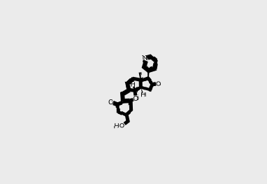 C[C@]12C=CC3=CC4=C(CC(CO)CC4=O)O[C@H]3[C@@H]1CC(=O)[C@@H]2c1cccnc1